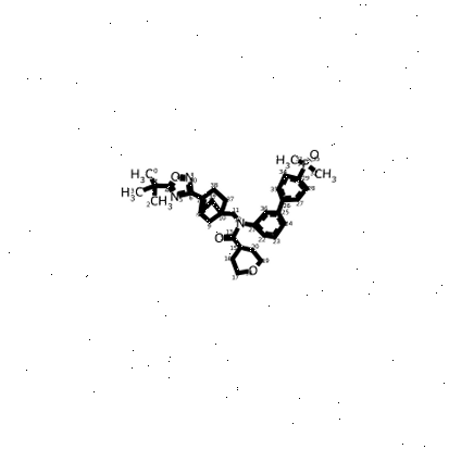 CC(C)(C)c1nc(C2=C3CC(CN(C(=O)C4CCOCC4)c4cccc(-c5ccc(P(C)(C)=O)cc5)c4)(CC2)C3)no1